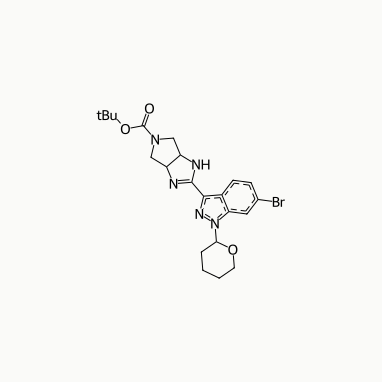 CC(C)(C)OC(=O)N1CC2N=C(c3nn(C4CCCCO4)c4cc(Br)ccc34)NC2C1